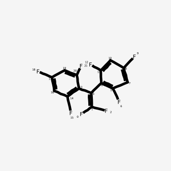 FC(F)=C(c1c(F)cc(F)cc1F)c1c(F)cc(F)cc1F